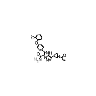 C=CC(=O)N1CCC(c2cnn3c(C(N)=O)c(-c4ccc(Oc5ccccc5OC)cc4)[nH]c23)C1